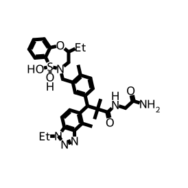 CCC1CN(Cc2cc(C(c3ccc4c(nnn4CC)c3C)C(C)(C)C(=O)NCC(N)=O)ccc2C)S(O)(O)c2ccccc2O1